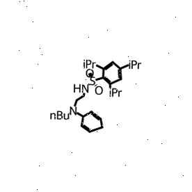 CCCCN(CCNS(=O)(=O)c1c(C(C)C)cc(C(C)C)cc1C(C)C)C1C=CCC=C1